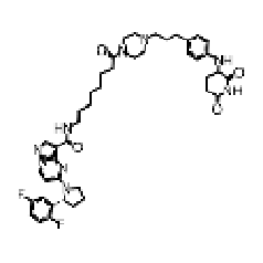 O=C1CCC(Nc2ccc(CCCN3CCN(C(=O)CCCCCCCNC(=O)c4cnn5ccc(N6CCC[C@@H]6c6cc(F)ccc6F)nc45)CC3)cc2)C(=O)N1